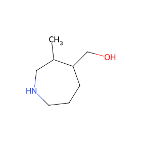 CC1CNCCCC1CO